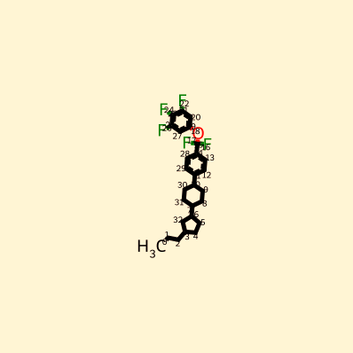 CCCC1CCC(C2CCC(c3ccc(C(F)(F)Oc4cc(F)c(F)c(F)c4)cc3)CC2)C1